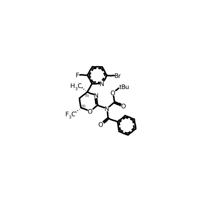 CC(C)(C)OC(=O)N(C(=O)c1ccccc1)C1=N[C@](C)(c2nc(Br)ccc2F)C[C@@H](C(F)(F)F)O1